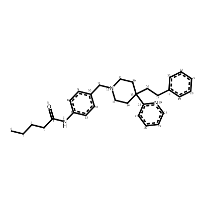 CCCCC(=O)Nc1ccc(CN2CCC(CCc3ccccc3)(c3ccccn3)CC2)cc1